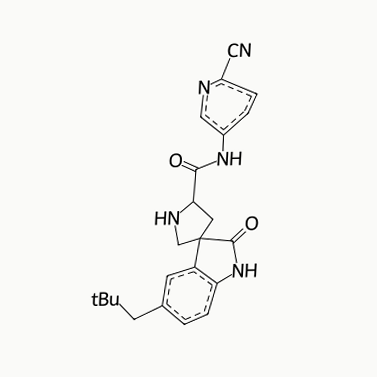 CC(C)(C)Cc1ccc2c(c1)C1(CNC(C(=O)Nc3ccc(C#N)nc3)C1)C(=O)N2